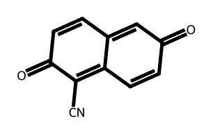 N#CC1=C2C=CC(=O)C=C2C=CC1=O